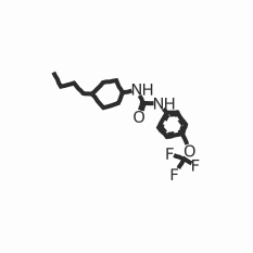 CCCCC1CCC(NC(=O)Nc2ccc(OC(F)(F)F)cc2)CC1